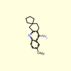 COc1ccc2nc3c(c(N)c2c1)CCC1(CCCC1)C3